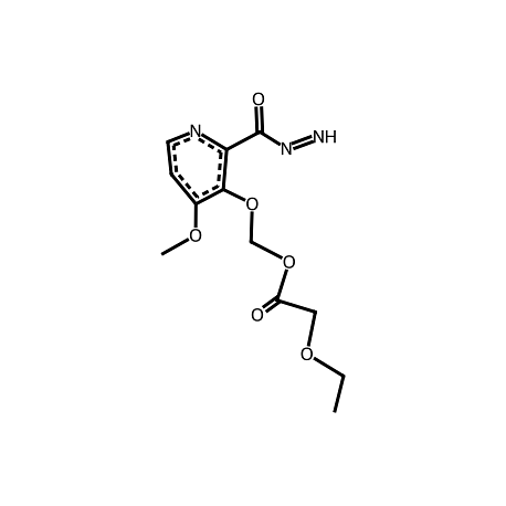 CCOCC(=O)OCOc1c(OC)ccnc1C(=O)N=N